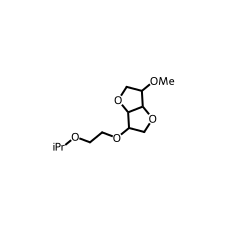 COC1COC2C(OCCOC(C)C)COC12